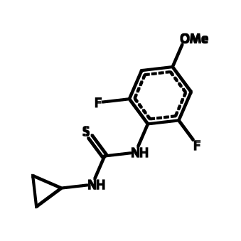 COc1cc(F)c(NC(=S)NC2CC2)c(F)c1